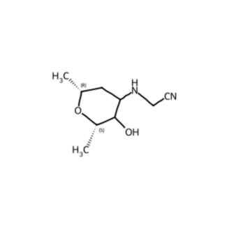 C[C@@H]1CC(NCC#N)C(O)[C@H](C)O1